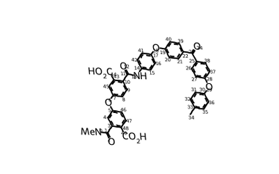 CNC(=O)c1cc(Oc2ccc(C(=O)Nc3ccc(Oc4ccc(C(=O)c5ccc(Oc6ccc(C)cc6)cc5)cc4)cc3)c(C(=O)O)c2)ccc1C(=O)O